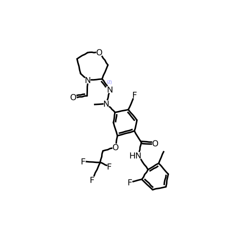 Cc1cccc(F)c1NC(=O)c1cc(F)c(N(C)/N=C2/COCCCN2C=O)cc1OCC(F)(F)F